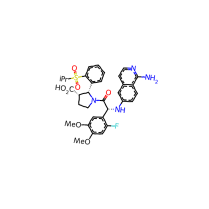 COc1cc(F)c([C@@H](Nc2ccc3c(N)nccc3c2)C(=O)N2CC[C@H](C(=O)O)[C@@H]2c2ccccc2S(=O)(=O)C(C)C)cc1OC